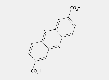 O=C(O)c1ccc2nc3cc(C(=O)O)ccc3nc2c1